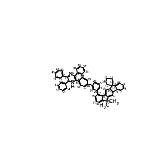 CC1(C)C2=CC3c4ccccc4C4(CCCCC4)C3C=C2c2c(-c3cccc(-c4ccc(C5=C(c6ccccc6)N=C(c6ccccc6)C(c6ccccc6)N5)cc4)c3)cccc21